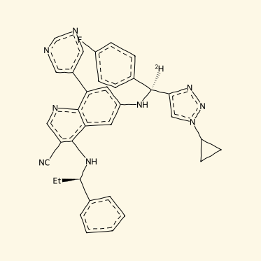 [2H][C@](Nc1cc(-c2cncnc2)c2ncc(C#N)c(N[C@H](CC)c3ccccc3)c2c1)(c1ccc(F)cc1)c1cn(C2CC2)nn1